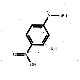 CCCCSc1ccc(S(=O)O)cc1.[KH]